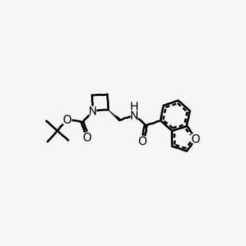 CC(C)(C)OC(=O)N1CC[C@H]1CNC(=O)c1cccc2occc12